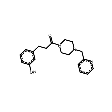 O=C(CCc1cccc(O)c1)N1CCN(Cc2ccccn2)CC1